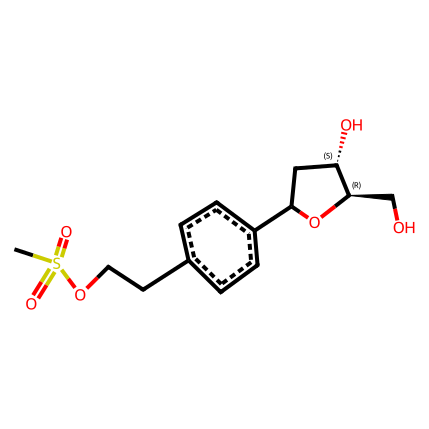 CS(=O)(=O)OCCc1ccc(C2C[C@H](O)[C@@H](CO)O2)cc1